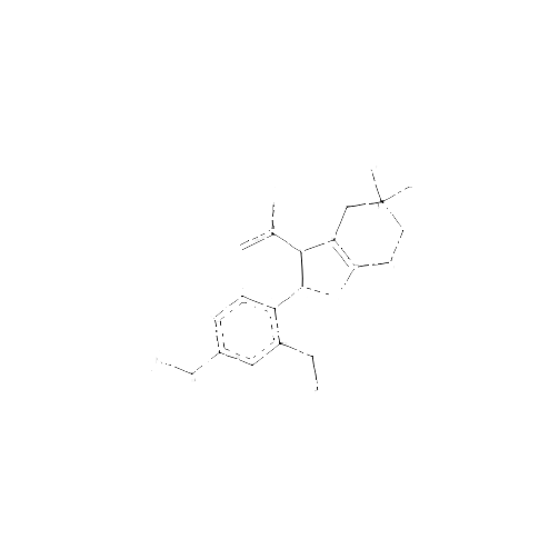 C=C(O)C1C2=C(CCC(C)(C)C2)SC1c1ccc(CN)cc1CC